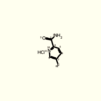 Cl.NC(=O)c1ccc(F)cn1